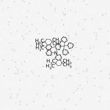 Cc1ccc(-c2cc3c(cc2N(c2ccccc2)c2ccc4c(c2)C(C)(C)CCC4(C)C)C(c2ccccc2)(c2ccccc2)c2ccccc2-3)c2c1C(C)(C)CCC2(C)C